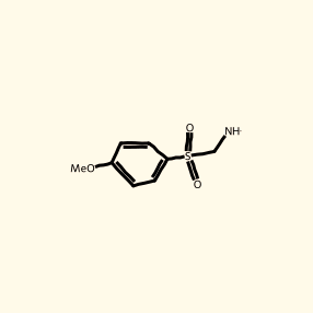 COc1ccc(S(=O)(=O)C[NH])cc1